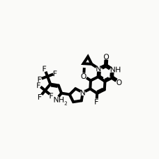 COC1c2c(c(=O)[nH]c(=O)n2C2CC2)C=C(F)C1N1CCC(C(N)C=C(C(F)(F)F)C(F)(F)F)C1